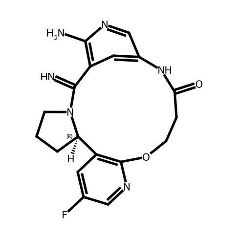 N=C1c2cc(cnc2N)NC(=O)CCOc2ncc(F)cc2[C@H]2CCCN12